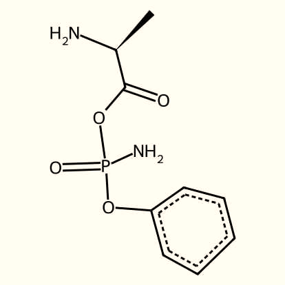 C[C@H](N)C(=O)OP(N)(=O)Oc1ccccc1